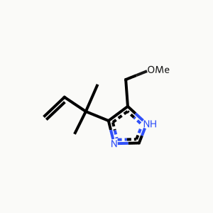 C=CC(C)(C)c1nc[nH]c1COC